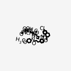 CO[C@@H](/C=C/COC(C)(C)C(=O)N=S=O)[C@@H]1CC[C@H]1CN1C[C@@]2(CCCc3cc(Cl)ccc32)COc2ccc(CCC(=O)N[C@H]3CC[C@H](OC)CC3)cc21